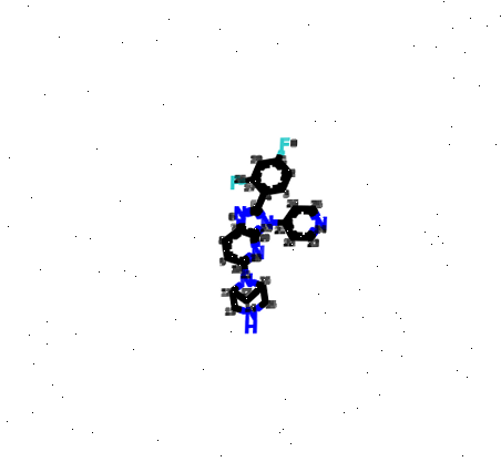 Fc1ccc(-c2nc3ccc(N4C5CNCC4C5)nc3n2-c2ccncc2)c(F)c1